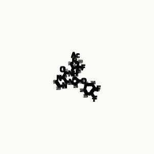 CC(=O)N1CC(NC(=O)c2nccnc2N2CC(Oc3ccc(F)c(F)c3)C2)C(F)(F)C1